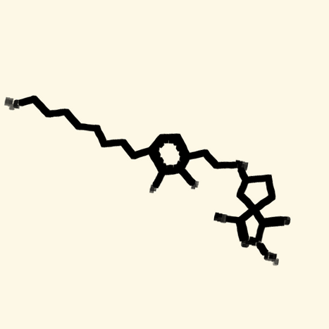 CCCCCCCCCc1ccc(CCNC2CCC(C(=O)O)(C(=O)NC)C2)c(F)c1F